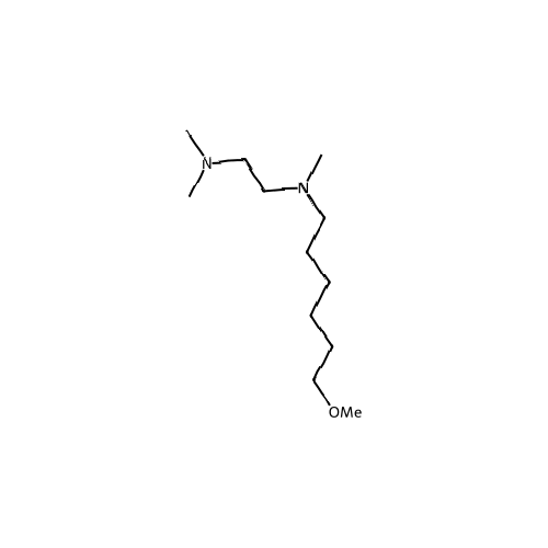 COCCCCCCN(C)CCN(C)C